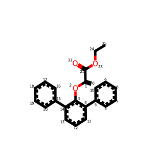 C=C(Oc1c(-c2ccccc2)cccc1-c1ccccc1)C(=O)OCC